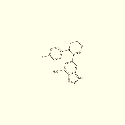 Cc1cc(C2=NOCCN2c2ccc(F)cc2)cc2[nH]cnc12